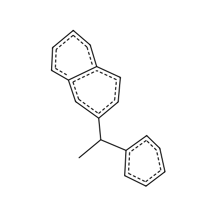 CC(c1ccccc1)c1ccc2ccccc2c1